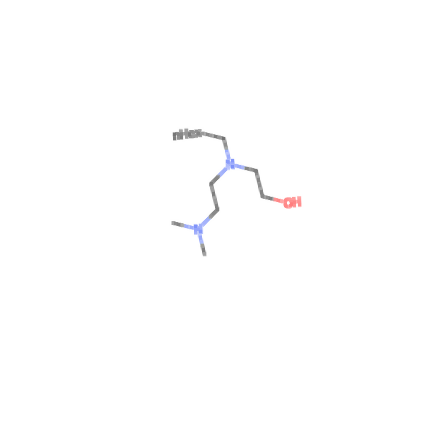 CCCCCCCN(CCO)CCN(C)C